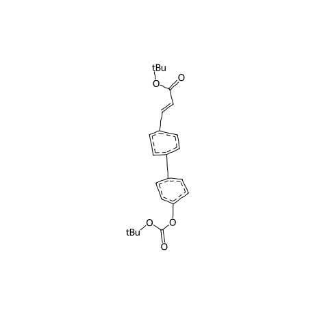 CC(C)(C)OC(=O)C=Cc1ccc(-c2ccc(OC(=O)OC(C)(C)C)cc2)cc1